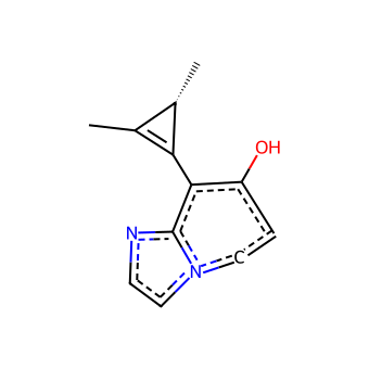 CC1=C(c2c(O)ccn3ccnc23)[C@H]1C